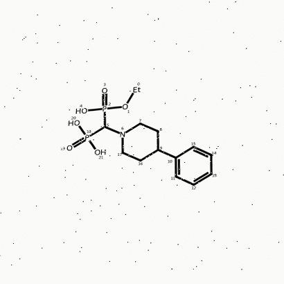 CCOP(=O)(O)C(N1CCC(c2ccccc2)CC1)P(=O)(O)O